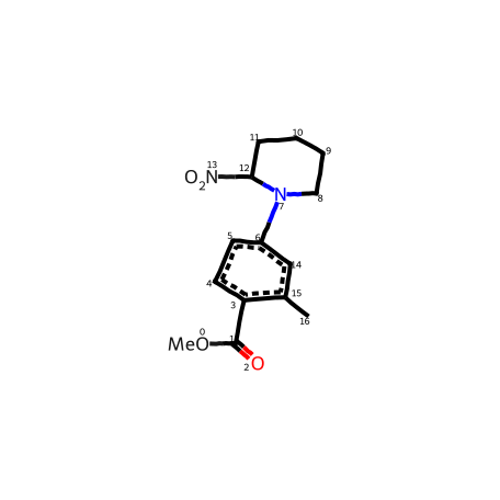 COC(=O)c1ccc(N2CCCCC2[N+](=O)[O-])cc1C